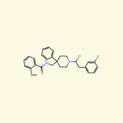 COc1ccccc1C(=O)NCC1(c2ccccc2)CCN(C(Cl)Cc2cccc(Cl)c2)CC1